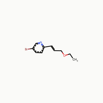 CCOCC=Cc1ccc(Br)cn1